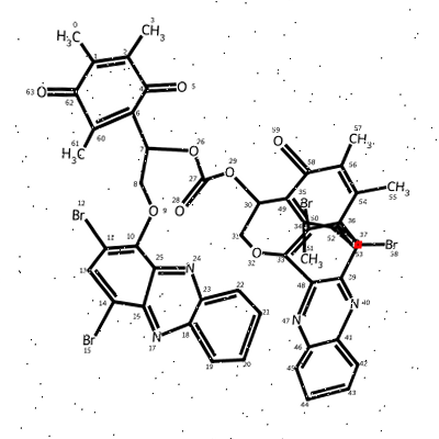 CC1=C(C)C(=O)C(C(COc2c(Br)cc(Br)c3nc4ccccc4nc23)OC(=O)OC(COc2c(Br)cc(Br)c3nc4ccccc4nc23)C2=C(C)C(=O)C(C)=C(C)C2=O)=C(C)C1=O